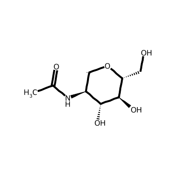 CC(=O)N[C@H]1[CH]O[C@H](CO)[C@@H](O)[C@@H]1O